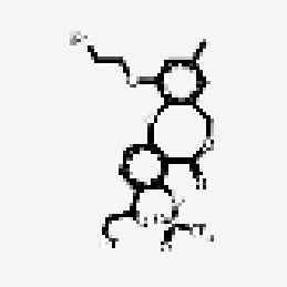 Cc1cc2c(c(OCCC(C)C)c1)Oc1ccc(C(=O)CC(C)C)c(OS(=O)(=O)C(F)(F)F)c1C(=O)OC2